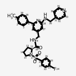 Cc1ccc(-c2cc(CNC(=O)[C@@H]3CCCN3S(=O)(=O)c3ccc(F)cc3)cc(NCc3ccncc3)n2)cc1